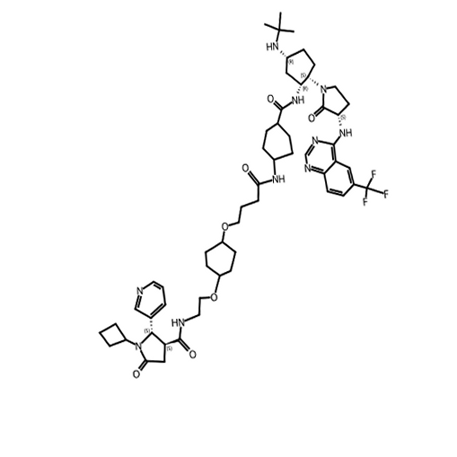 CC(C)(C)N[C@@H]1CC[C@H](N2CC[C@H](Nc3ncnc4ccc(C(F)(F)F)cc34)C2=O)[C@H](NC(=O)C2CCC(NC(=O)CCCOC3CCC(OCCNC(=O)[C@H]4CC(=O)N(C5CCC5)[C@@H]4c4cccnc4)CC3)CC2)C1